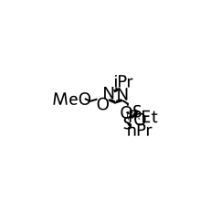 CCCS[P@@](=S)(OCC)OCc1cc(OCCOC)nc(C(C)C)n1